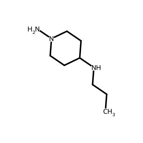 CCCNC1CCN(N)CC1